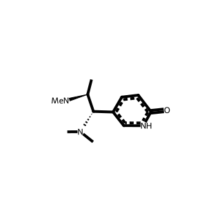 CN[C@@H](C)[C@H](c1ccc(=O)[nH]c1)N(C)C